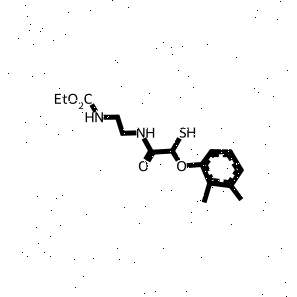 CCOC(=O)NCCNC(=O)C(S)Oc1cccc(C)c1C